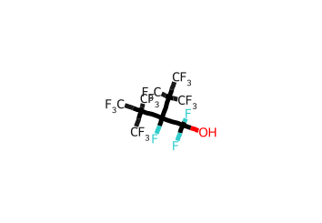 OC(F)(F)C(F)(C(C(F)(F)F)(C(F)(F)F)C(F)(F)F)C(C(F)(F)F)(C(F)(F)F)C(F)(F)F